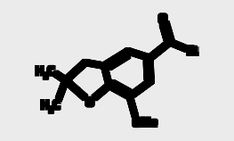 CCC(=O)c1cc2c(c(OC)c1)OC(C)(C)C2